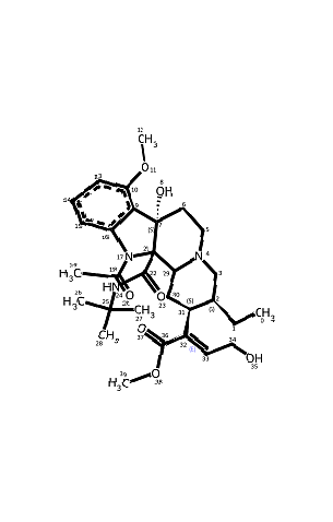 CC[C@@H]1CN2CC[C@]3(O)c4c(OC)cccc4N(C(C)=O)C3(C(=O)NC(C)(C)C)C2C[C@@H]1/C(=C\CO)C(=O)OC